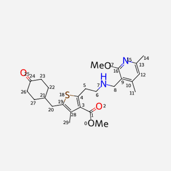 COC(=O)c1c(CCNCc2c(C)cc(C)nc2OC)sc(CC2CCC(=O)CC2)c1C